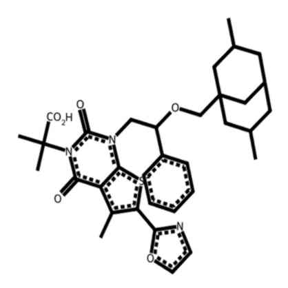 Cc1c(-c2ncco2)sc2c1c(=O)n(C(C)(C)C(=O)O)c(=O)n2CC(OCC12CC(C)CC(CC(C)C1)C2)c1ccccc1